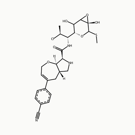 CSC1O[C@H]([C@H](NC(=O)[C@H]2NC[C@@H]3CC(c4ccc(C#N)cc4)=CCO[C@H]32)[C@H](C)Cl)C(O)C2O[C@]12O